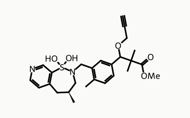 C#CCOC(c1ccc(C)c(CN2C[C@@H](C)Cc3ccncc3S2(O)O)c1)C(C)(C)C(=O)OC